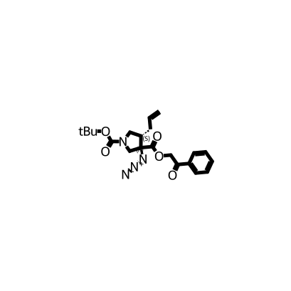 C=CC[C@H]1CN(C(=O)OC(C)(C)C)C[C@@]1(N=[N+]=[N-])C(=O)OCC(=O)c1ccccc1